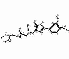 COc1ccc(-c2nc(C[S+]([O-])CC(=O)NCC(OC)OC)c(C)o2)cc1OC